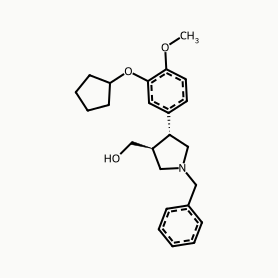 COc1ccc([C@@H]2CN(Cc3ccccc3)C[C@H]2CO)cc1OC1CCCC1